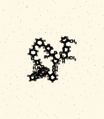 Cc1ncsc1-c1ccc([C@H](C)NC(=O)[C@@H]2C[C@@H](O)CN2C(=O)[C@H](c2cc(N3CCCC(CN4CCC(O[C@H]5C[C@H](Oc6cc(N7C8CCC7CN(c7cc(-c9ccccc9O)nnc7N)C8)ccn6)C5)CC4)C3)no2)C(C)C)cc1